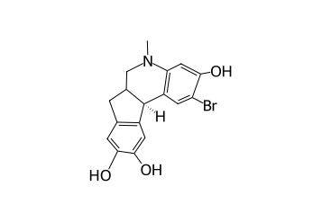 CN1CC2Cc3cc(O)c(O)cc3[C@@H]2c2cc(Br)c(O)cc21